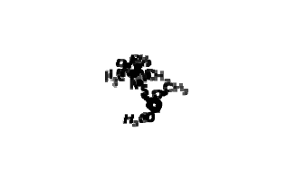 CCOc1ccc(OC)cc1CSc1nc2c(c(=O)n(C)c(=O)n2C)n1C